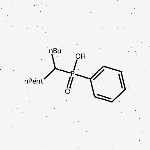 CCCCCC(CCCC)P(=O)(O)c1ccccc1